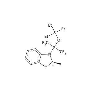 CC[Si](CC)(CC)OC(N1c2ccccc2C[C@@H]1C)(C(F)(F)F)C(F)(F)F